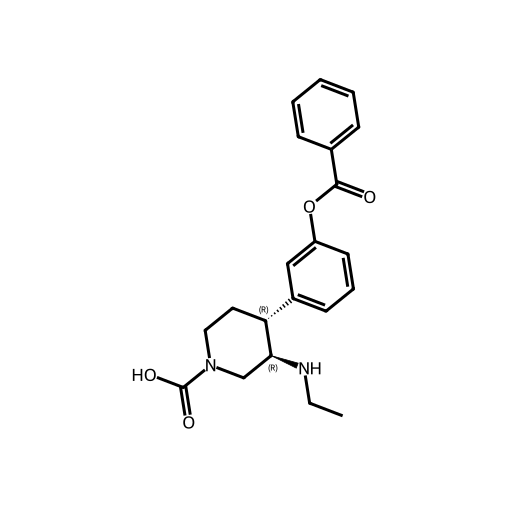 CCN[C@H]1CN(C(=O)O)CC[C@@H]1c1cccc(OC(=O)c2ccccc2)c1